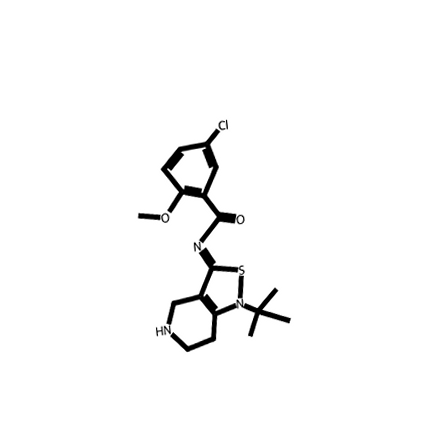 COc1ccc(Cl)cc1C(=O)N=c1sn(C(C)(C)C)c2c1CNCC2